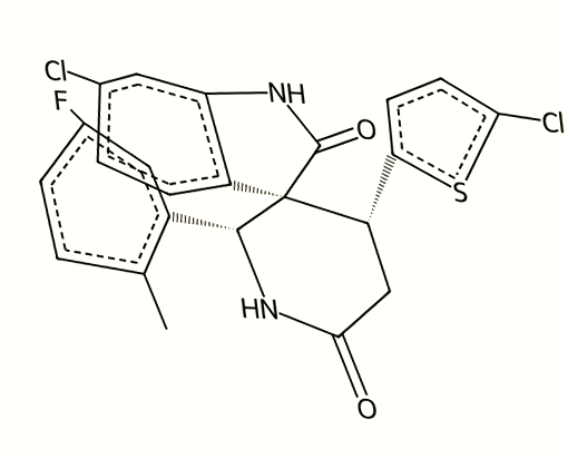 Cc1ccc(F)cc1[C@H]1NC(=O)C[C@@H](c2ccc(Cl)s2)[C@]12C(=O)Nc1cc(Cl)ccc12